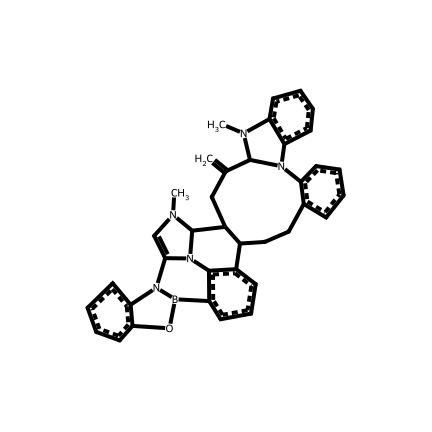 C=C1CC2C(CCc3ccccc3N3c4ccccc4N(C)C13)c1cccc3c1N1C(=CN(C)C21)N1B3Oc2ccccc21